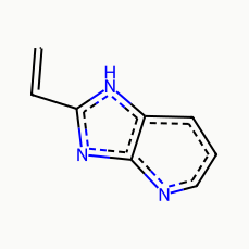 [CH]=Cc1nc2ncccc2[nH]1